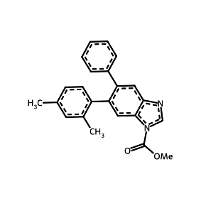 COC(=O)n1cnc2cc(-c3ccccc3)c(-c3ccc(C)cc3C)cc21